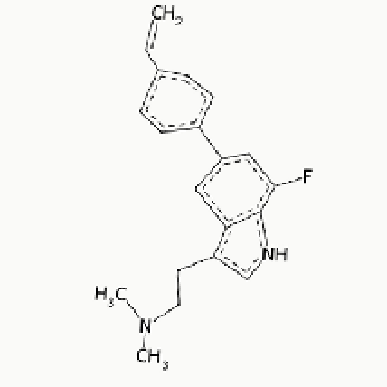 C=Cc1ccc(-c2cc(F)c3[nH]cc(CCN(C)C)c3c2)cc1